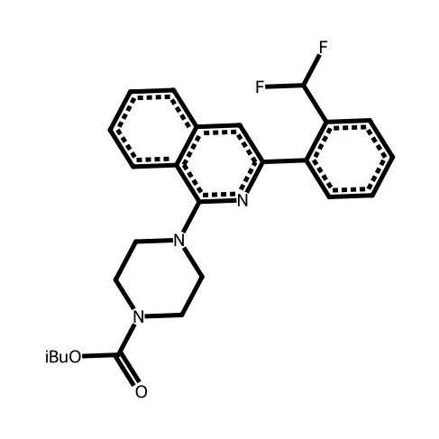 CC(C)COC(=O)N1CCN(c2nc(-c3ccccc3C(F)F)cc3ccccc23)CC1